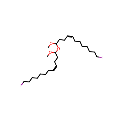 COC(CC/C=C\CCCCCCCI)OC(CC/C=C\CCCCCCCI)OC